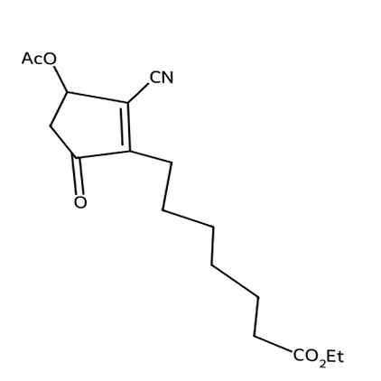 CCOC(=O)CCCCCCC1=C(C#N)C(OC(C)=O)CC1=O